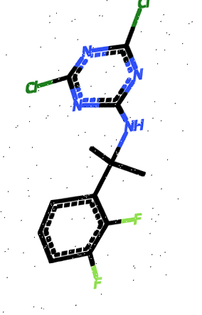 CC(C)(Nc1nc(Cl)nc(Cl)n1)c1cccc(F)c1F